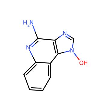 Nc1nc2ccccc2c2c1ncn2O